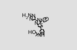 CC(CO)Nc1cc(-c2cc3nc(-c4cnc(N)nc4)nc(N4CCOCC4)c3s2)ccn1